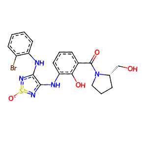 O=C(c1cccc(Nc2n[s+]([O-])nc2Nc2ccccc2Br)c1O)N1CCC[C@H]1CO